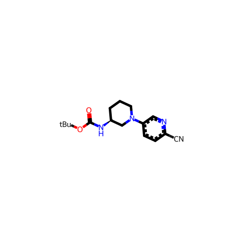 CC(C)(C)OC(=O)N[C@H]1CCCN(c2ccc(C#N)nc2)C1